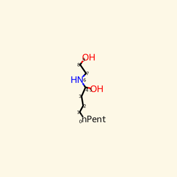 CCCCCCCCC(O)NCCO